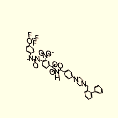 CN(C(=O)N(C)c1ccc(S(=O)(=O)NC(=O)c2ccc(N3CCN(Cc4ccccc4-c4ccccc4)CC3)cc2)cc1[N+](=O)[O-])c1ccc(OC(F)(F)F)cc1